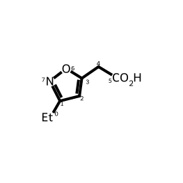 CCc1cc(CC(=O)O)on1